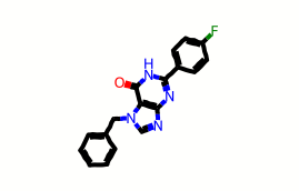 O=c1[nH]c(-c2ccc(F)cc2)nc2ncn(Cc3ccccc3)c12